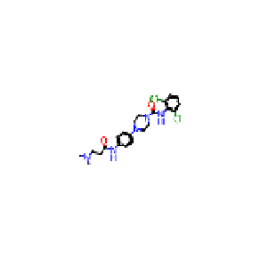 CN(C)CCC(=O)Nc1ccc(N2CCN(C(=O)Nc3c(Cl)cccc3Cl)CC2)cc1